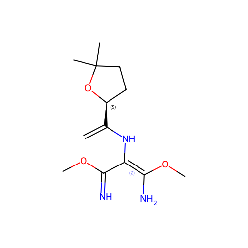 C=C(N/C(C(=N)OC)=C(/N)OC)[C@@H]1CCC(C)(C)O1